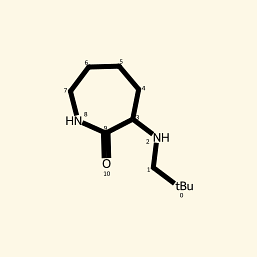 CC(C)(C)CNC1CCCCNC1=O